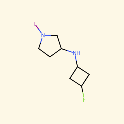 FC1CC(NC2CCN(I)C2)C1